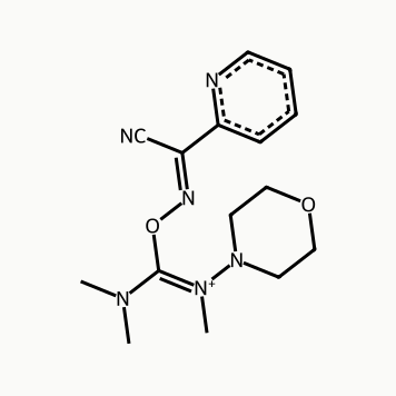 CN(C)C(ON=C(C#N)c1ccccn1)=[N+](C)N1CCOCC1